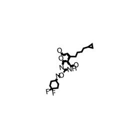 O=c1cc(CCCCC2CC2)c2c(=O)[nH]c(ON=C3CCC(F)(F)CC3)nc2o1